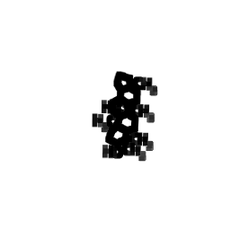 CC1(C)C2CC[C@]3(C)C(CCC4C5CCC[C@]5(C)CC[C@]43C)[C@@]2(C)CC[C@@H]1O